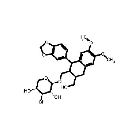 COc1cc2c(cc1OC)C(c1ccc3c(c1)OCO3)C(CO[C@@H]1OC[C@@H](O)[C@H](O)[C@H]1O)C(CO)C2